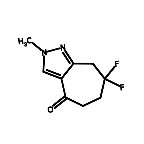 Cn1cc2c(n1)CC(F)(F)CCC2=O